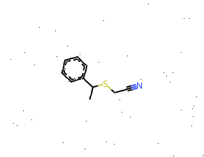 CC(SCC#N)c1ccccc1